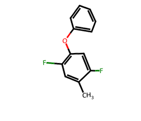 Cc1cc(F)c(Oc2ccccc2)cc1F